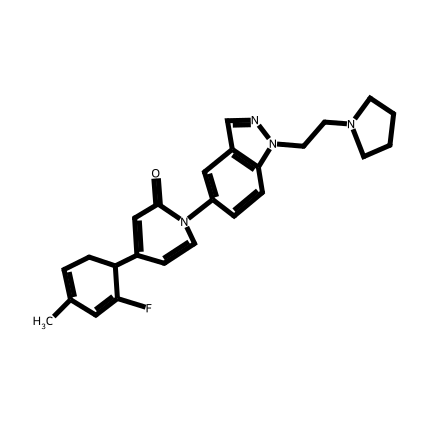 CC1=CCC(c2ccn(-c3ccc4c(cnn4CCN4CCCC4)c3)c(=O)c2)C(F)=C1